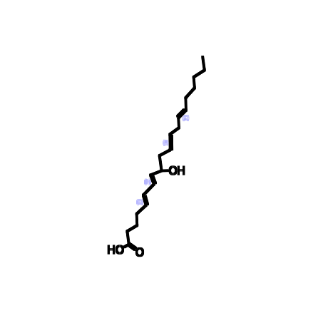 CCCCC/C=C/C/C=C/CC(O)/C=C/C=C/CCCC(=O)O